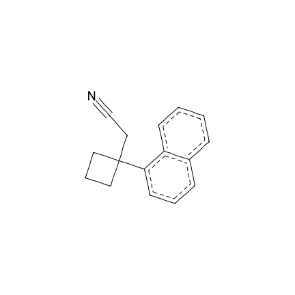 N#CCC1(c2cccc3ccccc23)CCC1